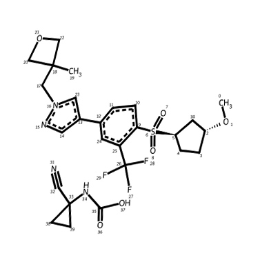 CO[C@@H]1CC[C@@H](S(=O)(=O)c2ccc(-c3cnn(CC4(C)COC4)c3)cc2C(F)(F)F)C1.N#CC1(NC(=O)O)CC1